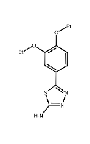 CCOc1ccc(-c2nnc(N)s2)cc1OCC